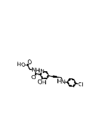 O=C(O)CNC(=O)c1ncc(C#CCNc2ccc(Cl)cc2)cc1O